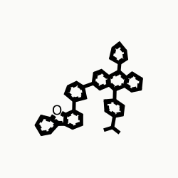 CC(C)c1ccc(-c2c3ccccc3c(-c3ccccc3)c3ccc(-c4cccc(-c5cccc6c5oc5ccccc56)c4)cc23)cc1